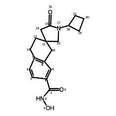 O=C(NO)c1ccc2c(c1)CC1(CC2)CC(=O)N(C2CCC2)C1